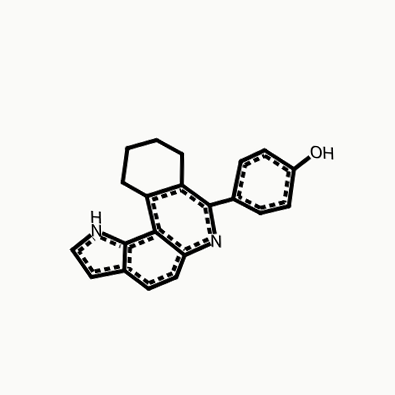 Oc1ccc(-c2nc3ccc4cc[nH]c4c3c3c2CCCC3)cc1